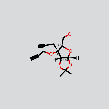 C#CCO[C@]1(CC#C)[C@@H](CO)O[C@@H]2OC(C)(C)O[C@@H]21